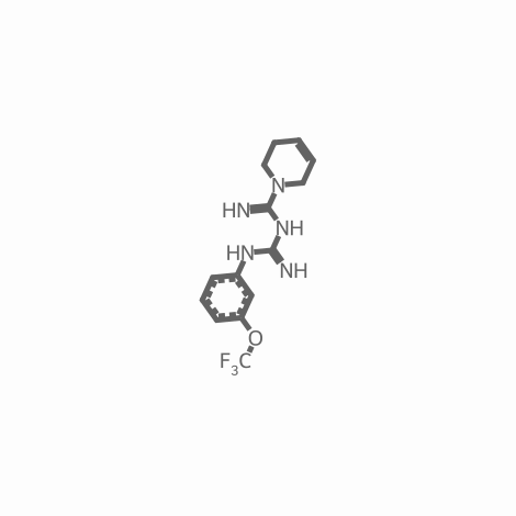 N=C(NC(=N)N1CC=CCC1)Nc1cccc(OC(F)(F)F)c1